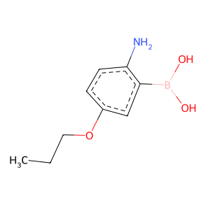 CCCOc1ccc(N)c(B(O)O)c1